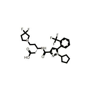 O=C(O)C[C@H](CCN1CCC(F)(F)C1)NC(=O)c1cc(-c2ccccc2C(F)(F)F)n(C2CCCC2)n1